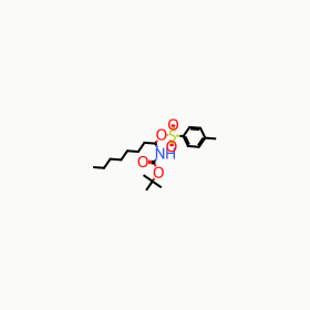 CCCCCCCC(NC(=O)OC(C)(C)C)OS(=O)(=O)c1ccc(C)cc1